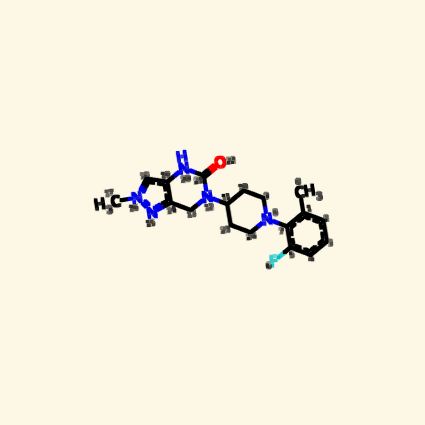 Cc1cccc(F)c1N1CCC(N2Cc3nn(C)cc3NC2=O)CC1